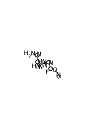 Nc1cncc(-c2ccc3[nH]nc(-c4nc5c(-c6cc(F)cc(OCCN7CCCC7)c6)nccc5[nH]4)c3c2)c1